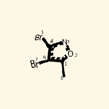 Cc1onc(Br)c1Br